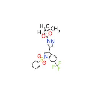 CC(C)(C)OC(=O)n1cc(-c2cn(S(=O)(=O)c3ccccc3)c3cc(C(F)(F)F)ccc23)cn1